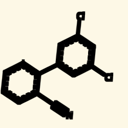 N#Cc1ccc[c]c1-c1cc(Cl)cc(Cl)c1